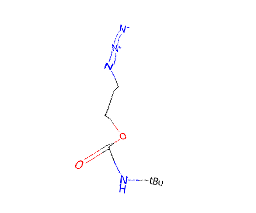 CC(C)(C)NC(=O)OCCN=[N+]=[N-]